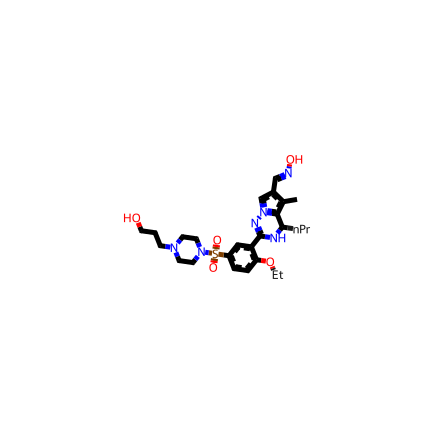 CCCC1NC(c2cc(S(=O)(=O)N3CCN(CCCO)CC3)ccc2OCC)=Nn2cc(C=NO)c(C)c21